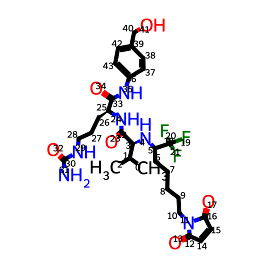 CC(C)[C@H](NC(CCCCCN1C(=O)C=CC1=O)C(F)(F)F)C(=O)N[C@@H](CCCNC(N)=O)C(=O)Nc1ccc(CO)cc1